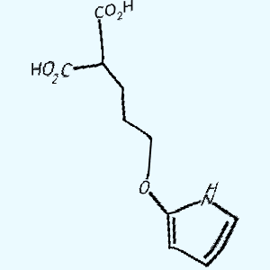 O=C(O)C(CCCOc1ccc[nH]1)C(=O)O